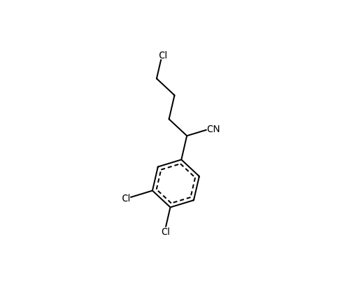 N#CC(CCCCl)c1ccc(Cl)c(Cl)c1